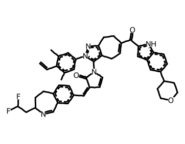 C=Cc1c(C)cc(-n2nc3c(c2N2C=C/C(=C/c4ccc5c(c4)C=NC(CC(F)F)CC5)C2=O)CC=C(C(=O)c2cc4cc(C5CCOCC5)ccc4[nH]2)CC3)cc1C